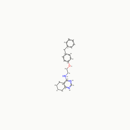 c1ccc(Cc2ccc(OCCNc3ncnc4c3CCCC4)cc2)cc1